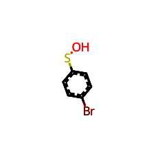 OSc1ccc(Br)cc1